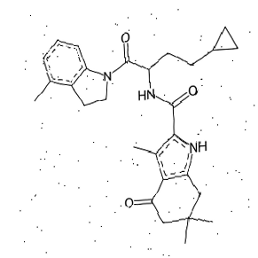 Cc1cccc2c1CCN2C(=O)C(CCC1CC1)NC(=O)c1[nH]c2c(c1C)C(=O)CC(C)(C)C2